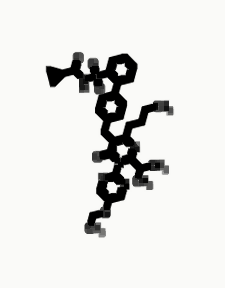 CCCCc1nc(C(C)C)n(-c2ncc(OCC)cn2)c(=O)c1Cc1ccc(-c2ccccc2S(=O)(=O)NC(=O)C2CC2)cc1